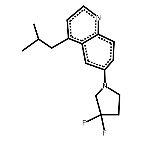 CC(C)Cc1ccnc2ccc(N3CCC(F)(F)C3)cc12